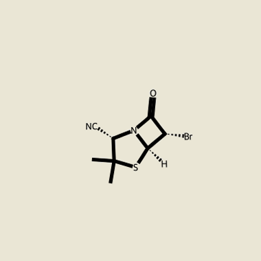 CC1(C)S[C@@H]2[C@@H](Br)C(=O)N2[C@H]1C#N